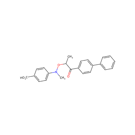 CC(ON(C)c1ccc(C(=O)O)cc1)C(=O)c1ccc(-c2ccccc2)cc1